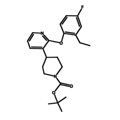 CCc1cc(F)ccc1Oc1ncccc1C1CCN(C(=O)OC(C)(C)C)CC1